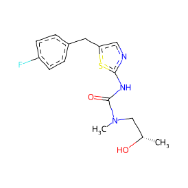 C[C@H](O)CN(C)C(=O)Nc1ncc(Cc2ccc(F)cc2)s1